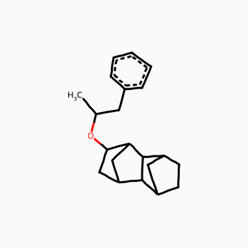 CC(Cc1ccccc1)OC1CC2CC1C1C3CCC(C3)C21